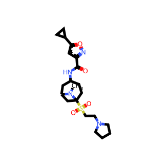 CN1C2CC(NC(=O)c3cc(C4CC4)on3)CCC1(S(=O)(=O)CCN1CCCC1)C2